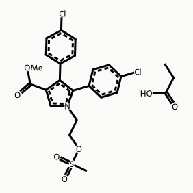 CCC(=O)O.COC(=O)c1cn(CCOS(C)(=O)=O)c(-c2ccc(Cl)cc2)c1-c1ccc(Cl)cc1